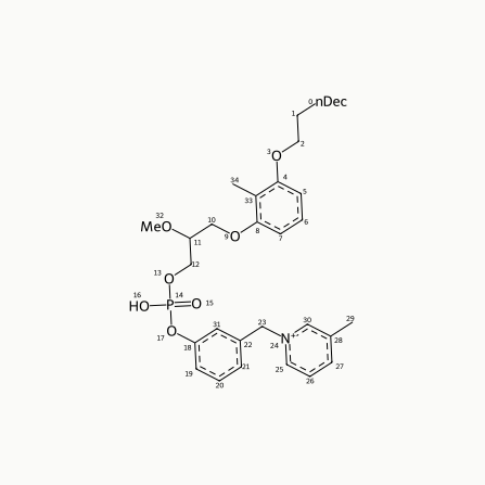 CCCCCCCCCCCCOc1cccc(OCC(COP(=O)(O)Oc2cccc(C[n+]3cccc(C)c3)c2)OC)c1C